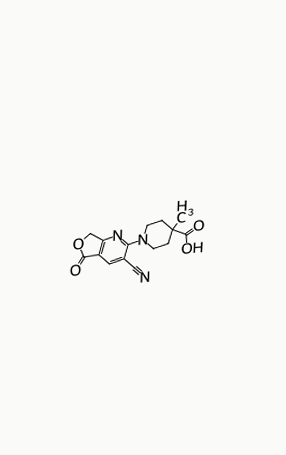 CC1(C(=O)O)CCN(c2nc3c(cc2C#N)C(=O)OC3)CC1